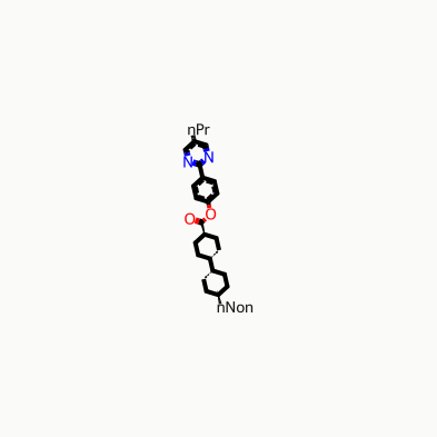 CCCCCCCCC[C@H]1CC[C@H]([C@H]2CC[C@H](C(=O)Oc3ccc(-c4ncc(CCC)cn4)cc3)CC2)CC1